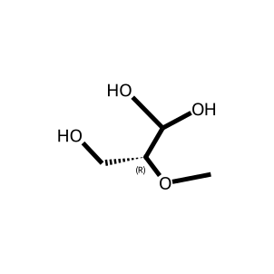 CO[C@H](CO)C(O)O